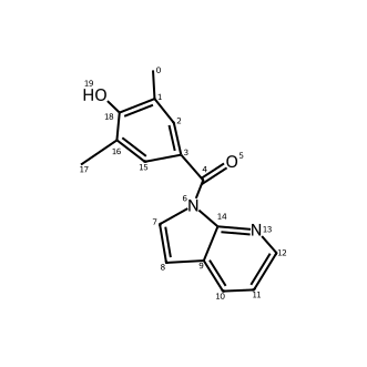 Cc1cc(C(=O)n2ccc3cccnc32)cc(C)c1O